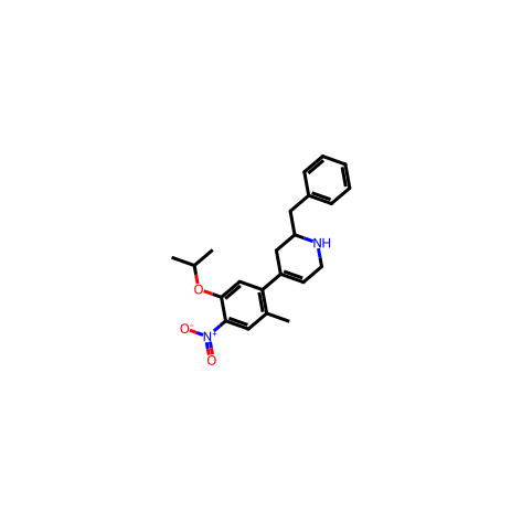 Cc1cc([N+](=O)[O-])c(OC(C)C)cc1C1=CCNC(Cc2ccccc2)C1